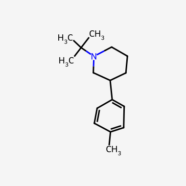 Cc1ccc(C2CCCN(C(C)(C)C)C2)cc1